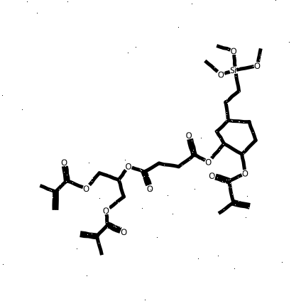 C=C(C)C(=O)OCC(COC(=O)C(=C)C)OC(=O)CCC(=O)OC1CC(CC[Si](OC)(OC)OC)CCC1OC(=O)C(=C)C